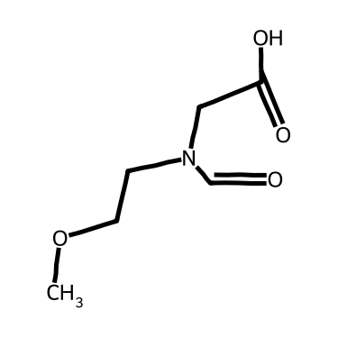 COCCN(C=O)CC(=O)O